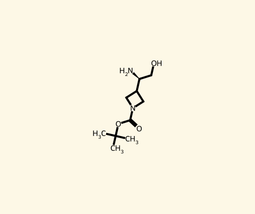 CC(C)(C)OC(=O)N1CC([C@@H](N)CO)C1